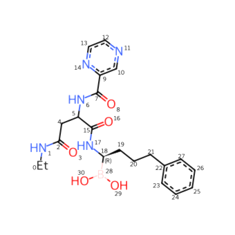 CCNC(=O)CC(NC(=O)c1cnccn1)C(=O)N[C@@H](CCCc1ccccc1)B(O)O